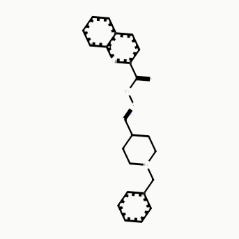 O=C(N/N=C/C1CCN(Cc2ccccc2)CC1)c1ccc2ccccc2n1